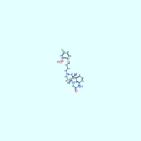 O=C1CN2c3c(cccc3[C@@H]3CN(CCCOc4ccc(F)cc4O)CC[C@@H]32)N1